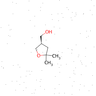 CC1(C)C[C@H](CO)CO1